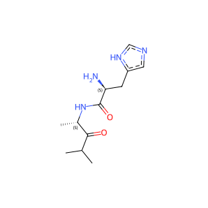 CC(C)C(=O)[C@H](C)NC(=O)[C@@H](N)Cc1cnc[nH]1